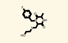 CC1NC(=O)C(CSCCO)N(Cc2ccc(F)cc2)C1=O